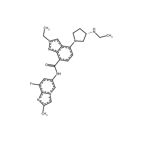 CCN[C@H]1CCN(c2ccc(C(=O)Nc3cc(F)c4nc(C)cn4c3)c3nn(CC)cc23)C1